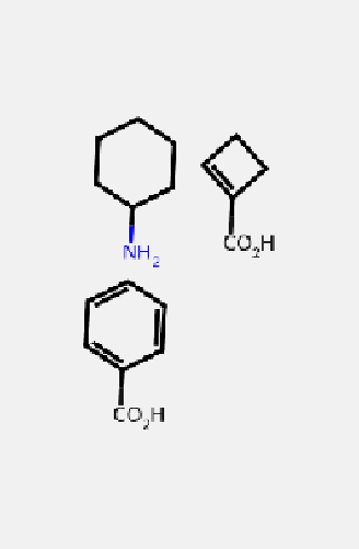 NC1CCCCC1.O=C(O)C1=CCC1.O=C(O)c1ccccc1